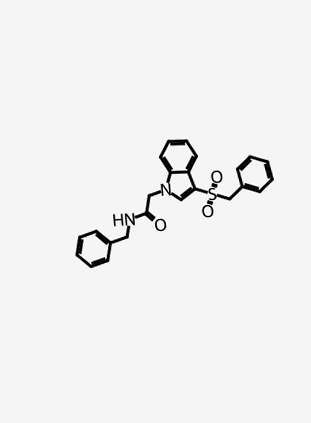 O=C(Cn1cc(S(=O)(=O)Cc2ccccc2)c2ccccc21)NCc1ccccc1